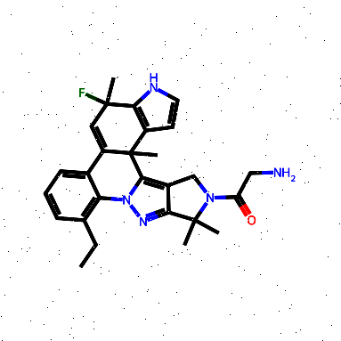 CCc1cccc2c1-n1nc3c(c1C1(C)C2=CC(C)(F)c2[nH]ccc21)CN(C(=O)CN)C3(C)C